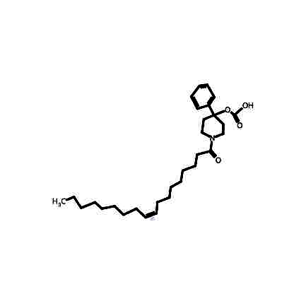 CCCCCCCC/C=C\CCCCCCCC(=O)N1CCC(OC(=O)O)(c2ccccc2)CC1